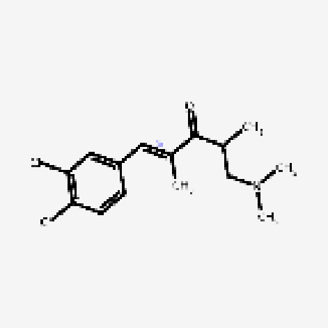 C/C(=C\c1ccc(Cl)c(Cl)c1)C(=O)C(C)CN(C)C